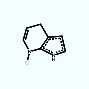 ClN1C=CCc2cc[nH]c21